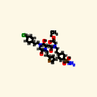 CCOC(=O)CN(CCc1ccc(S(N)(=O)=O)cc1)C(=O)CC1C(=O)N(CCc2ccc(Cl)cc2)CC(=O)N1CCc1cccs1